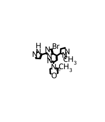 C[C@@H]1COCCN1c1cc(C2CC=NN2C)c2c(Br)nc(-c3ccn[nH]3)n2n1